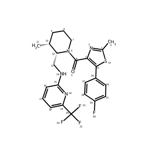 Cc1nc(C(=O)N2CCC[C@@H](C)[C@H]2CNc2cccc(C(F)(F)F)n2)c(-c2ccc(F)cc2)s1